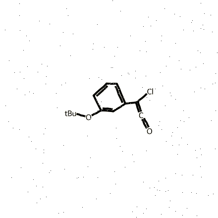 CC(C)(C)Oc1cccc(C(Cl)=C=O)c1